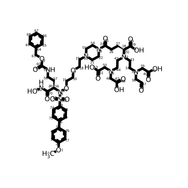 COc1ccc(-c2ccc(S(=O)(=O)N(OCCOCCN3CCN(C(=O)CC[C@@H](C(=O)O)N(CCN(CC=O)CC(=O)O)CCN(CC(=O)O)CC(=O)O)CC3)[C@H](CCNC(=O)OCc3ccccc3)C(=O)NO)cc2)cc1